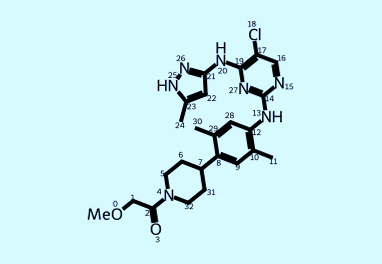 COCC(=O)N1CCC(c2cc(C)c(Nc3ncc(Cl)c(Nc4cc(C)[nH]n4)n3)cc2C)CC1